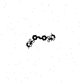 C[C@@H]1CCO[C@](C)(C(=O)Oc2ccc(/C=C/c3c[c]cc(OC(=O)[C@@]4(C)OCC[C@@H](C)O4)c3)cc2)O1